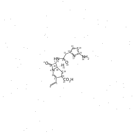 C=CC1=CN2C(=O)C(NC(=O)Cc3csc(N)n3)[C@H]2SC1C(=O)O